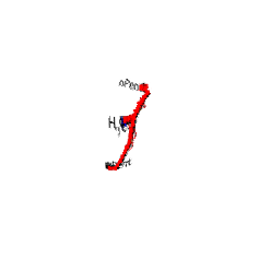 CCCCC/C=C\C/C=C\CCCCCCCCOC(=O)CSCCOCCCC(CCCOC(=O)CSCC(=O)OCCCCCCCC/C=C\C/C=C\CCCCC)OC(=O)CCCN(C)C